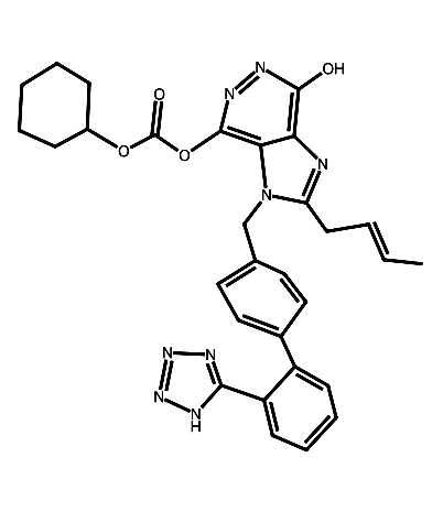 CC=CCc1nc2c(O)nnc(OC(=O)OC3CCCCC3)c2n1Cc1ccc(-c2ccccc2-c2nnn[nH]2)cc1